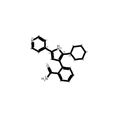 NC(=O)c1ccccc1-c1cc(-c2ccncc2)[nH]c1C1CCCCC1